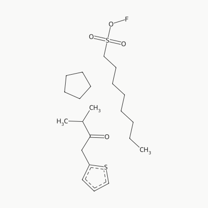 C1CCCC1.CC(C)C(=O)Cc1cccs1.CCCCCCCCS(=O)(=O)OF